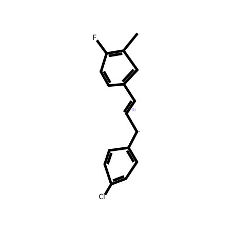 Cc1cc(/C=C/[CH]c2ccc(Cl)cc2)ccc1F